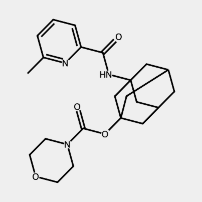 Cc1cccc(C(=O)NC23CC4CC(C2)CC(OC(=O)N2CCOCC2)(C4)C3)n1